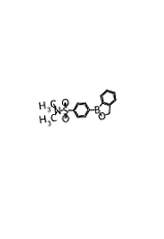 CN(C)S(=O)(=O)c1ccc(B2OCc3ccccc32)cc1